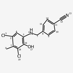 Cc1c(Cl)cc(NCc2ccc(C#N)cc2)c(O)c1Cl